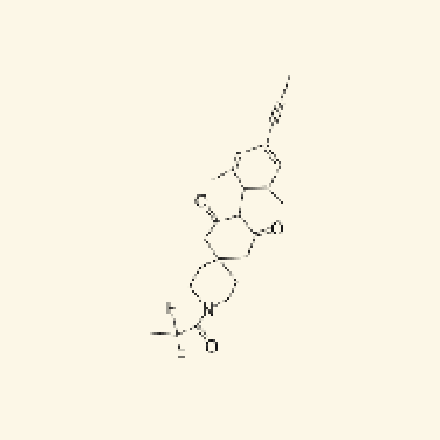 CC#Cc1cc(C)c(C2C(=O)CC3(CCN(C(=O)C(C)(F)F)CC3)CC2=O)c(C)c1